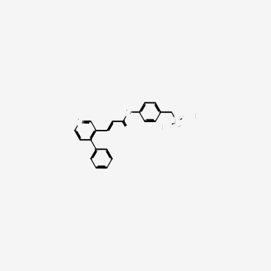 O=C(C=Cc1cnccc1-c1ccccc1)Nc1ccc(CP(=O)(O)O)cc1